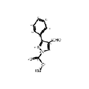 CC(C)(C)OC(=O)n1cc(C=O)c(-c2ccccc2)n1